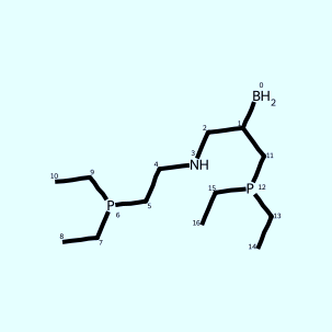 BC(CNCCP(CC)CC)CP(CC)CC